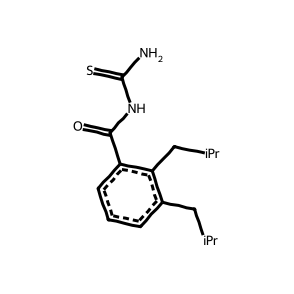 CC(C)Cc1cccc(C(=O)NC(N)=S)c1CC(C)C